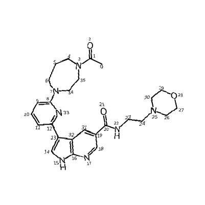 CC(=O)N1CCCN(c2cccc(-c3c[nH]c4ncc(C(=O)NCCN5CCOCC5)cc34)n2)CC1